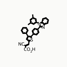 Cc1cc(C)cc(-n2c(-c3ccc(-c4sc(/C=C(\C#N)C(=O)O)cc4-c4ccccc4)cc3)nc3ccccc32)c1